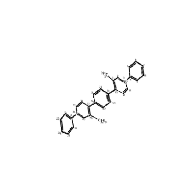 Cc1c[n+](-c2ccccc2)ccc1-c1ccc(-c2cc[n+](-c3ccccc3)cc2C)cc1